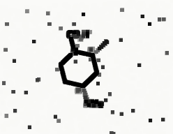 CN[C@@H]1CCN(C(=O)O)[C@H](C)C1